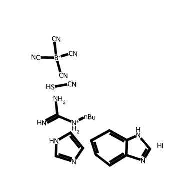 CCCC[NH2+]C(=N)N.I.N#CS.N#C[B-](C#N)(C#N)C#N.c1c[nH]cn1.c1ccc2[nH]cnc2c1